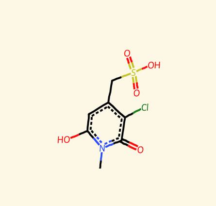 Cn1c(O)cc(CS(=O)(=O)O)c(Cl)c1=O